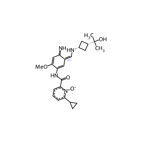 COC1=CC(=N)/C(=C\N[C@H]2C[C@@H](C(C)(C)O)C2)C=C1NC(=O)c1cccc(C2CC2)[n+]1[O-]